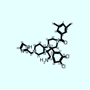 Cc1cc(C)cc(C(=O)N2CCN(C3CCN(Cc4ncc[nH]4)CC3)C(C(=O)CN)(c3ccc(Cl)c(Cl)c3)C2)c1